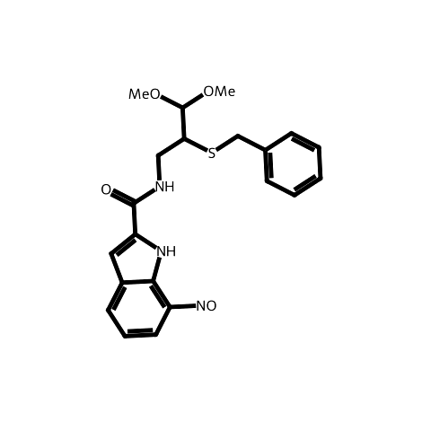 COC(OC)C(CNC(=O)c1cc2cccc(N=O)c2[nH]1)SCc1ccccc1